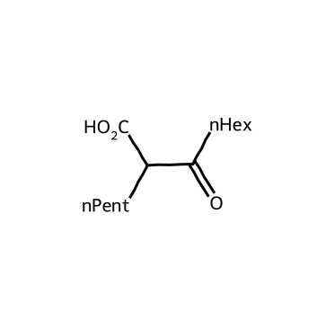 CCCCCCC(=O)C(CCCCC)C(=O)O